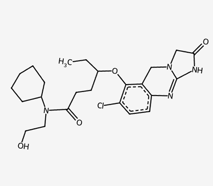 CCC(CCC(=O)N(CCO)C1CCCCC1)Oc1c(Cl)ccc2c1CN1CC(=O)NC1=N2